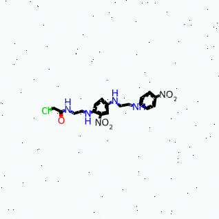 O=C(CCl)NCCNc1ccc(NCCNc2ccc([N+](=O)[O-])cc2)cc1[N+](=O)[O-]